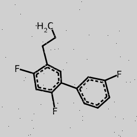 [CH2]CCc1cc(-c2cccc(F)c2)c(F)cc1F